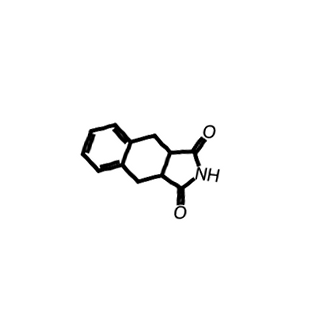 O=C1NC(=O)C2Cc3ccccc3CC12